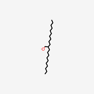 CCCCCCCCCCC(C[O])CCCCCCCCCC